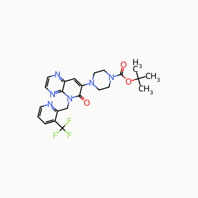 CC(C)(C)OC(=O)N1CCN(c2cc3nccnc3n(Cc3ncccc3C(F)(F)F)c2=O)CC1